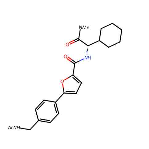 CNC(=O)[C@@H](NC(=O)c1ccc(-c2ccc(CNC(C)=O)cc2)o1)C1CCCCC1